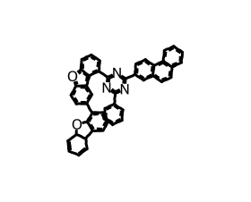 C1=CC2Oc3c(-c4ccc5oc6cccc(-c7nc(-c8ccccc8)nc(-c8ccc9c(ccc%10ccccc%109)c8)n7)c6c5c4)cccc3C2C=C1